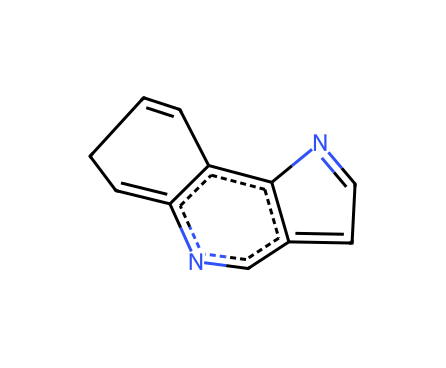 C1=Cc2c3c(cnc2=CC1)=CC=N3